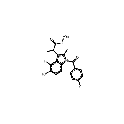 Cc1c(C(C)C(=O)OC(C)(C)C)c2c(F)c(O)ccc2n1C(=O)c1ccc(Cl)cc1